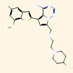 COc1cc(C)cc2cc(-c3cc(CNCCN4CCC(O)CC4)n4ncnc(N)c34)sc12